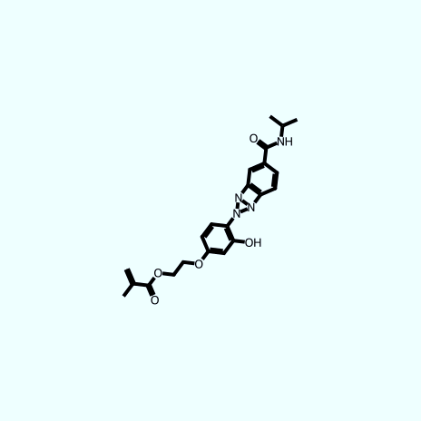 C=C(C)C(=O)OCCOc1ccc(-n2n3c4ccc(C(=O)NC(C)C)cc4n23)c(O)c1